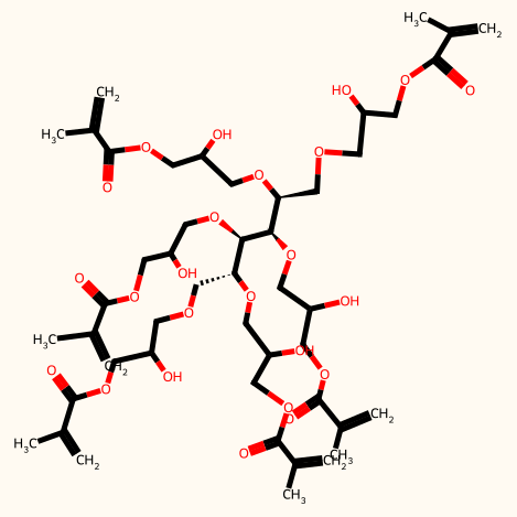 C=C(C)C(=O)OCC(O)COC[C@H](OCC(O)COC(=O)C(=C)C)[C@@H](OCC(O)COC(=O)C(=C)C)[C@H](OCC(O)COC(=O)C(=C)C)[C@@H](COCC(O)COC(=O)C(=C)C)OCC(O)COC(=O)C(=C)C